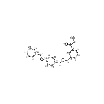 O=C(CBr)c1cccc(COCc2ccc(OCc3ccccc3)cc2)c1